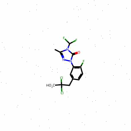 Cc1nn(-c2cc(CC(Cl)(Cl)C(=O)O)ccc2F)c(=O)n1C(F)F